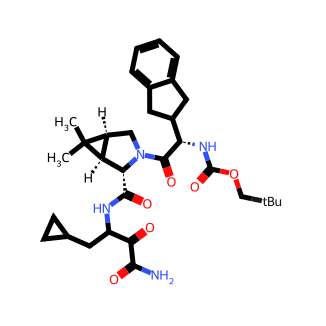 CC(C)(C)COC(=O)N[C@H](C(=O)N1C[C@H]2[C@@H]([C@H]1C(=O)NC(CC1CC1)C(=O)C(N)=O)C2(C)C)C1Cc2ccccc2C1